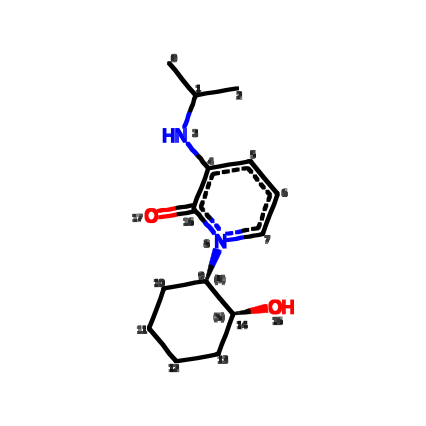 CC(C)Nc1cccn([C@@H]2CCCC[C@@H]2O)c1=O